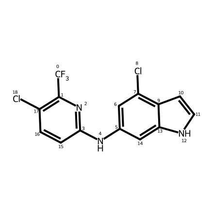 FC(F)(F)c1nc(Nc2cc(Cl)c3cc[nH]c3c2)ccc1Cl